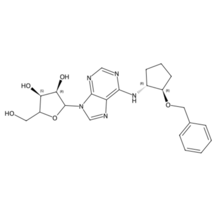 OCC1OC(n2cnc3c(N[C@@H]4CCC[C@H]4OCc4ccccc4)ncnc32)[C@H](O)[C@@H]1O